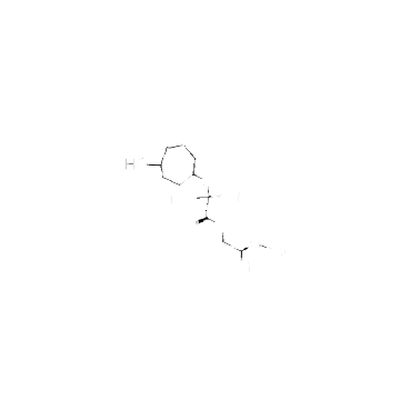 CC(COC(=O)C(C)(C)OC1CCCC(O)CC1)OC(C)(C)C